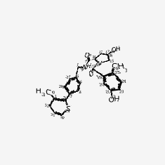 CC1=C(c2ccc(CNC(=O)[C@@H]3C[C@@H](O)CN3C(=O)c3cc(O)ccc3C)cc2)SC=CC1